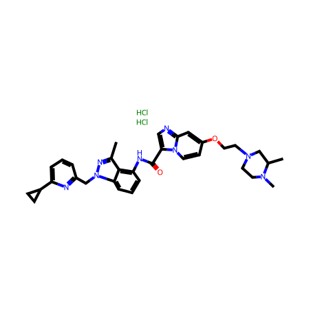 Cc1nn(Cc2cccc(C3CC3)n2)c2cccc(NC(=O)c3cnc4cc(OCCN5CCN(C)C(C)C5)ccn34)c12.Cl.Cl